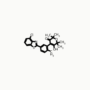 Cc1ccc(-c2nc3c(Cl)cccc3s2)cc1C1=C(O)C(C)(C)OC(C)(C)C1=O